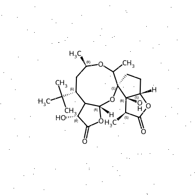 CC1O[C@H](C)C[C@@H](C(C)(C)C)C2[C@@H](OC(=O)[C@@H]2O)O[C@@]12CC[C@@H]1OC(=O)[C@@H](C)[C@@]12O